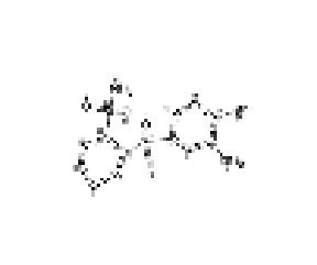 Nc1cc(S(=O)(=O)c2ccccc2S(N)(=O)=O)ccc1Br